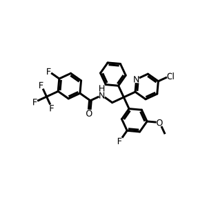 COc1cc(F)cc(C(CNC(=O)c2ccc(F)c(C(F)(F)F)c2)(c2ccccc2)c2ccc(Cl)cn2)c1